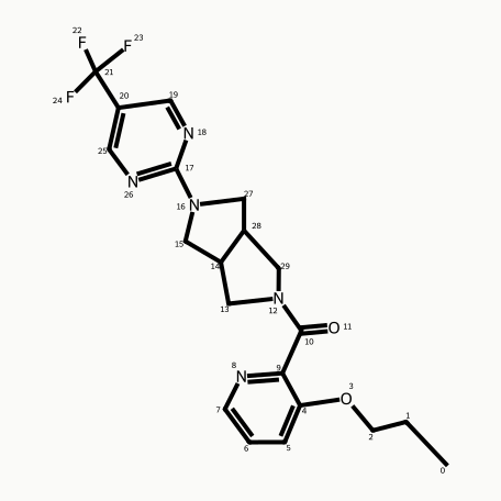 CCCOc1cccnc1C(=O)N1CC2CN(c3ncc(C(F)(F)F)cn3)CC2C1